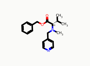 CC(C)[C@@H](C(=O)OCc1ccccc1)N(C)Cc1ccncc1